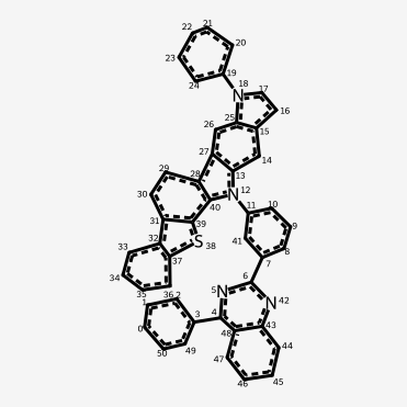 c1ccc(-c2nc(-c3cccc(-n4c5cc6ccn(-c7ccccc7)c6cc5c5ccc6c7ccccc7sc6c54)c3)nc3ccccc23)cc1